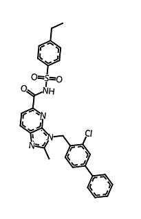 CCc1ccc(S(=O)(=O)NC(=O)c2ccc3nc(C)n(Cc4ccc(-c5ccccc5)cc4Cl)c3n2)cc1